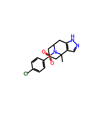 CC12CCCC(Cc3[nH]ncc31)N2S(=O)(=O)c1ccc(Cl)cc1